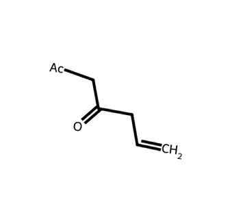 C=CCC(=O)CC(C)=O